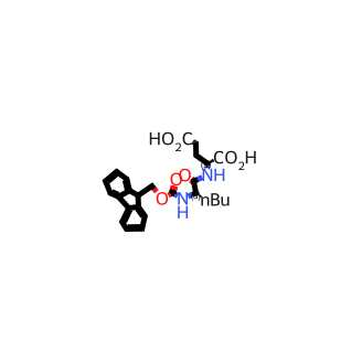 CCCC[C@H](NC(=O)OCC1c2ccccc2-c2ccccc21)C(=O)N[C@@H](CCC(=O)O)C(=O)O